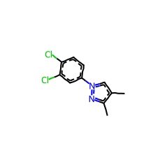 Cc1cn(-c2ccc(Cl)c(Cl)c2)nc1C